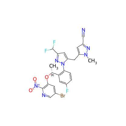 C[C@@H](Oc1cc(Br)cnc1[N+](=O)[O-])c1cc(F)ccc1-n1nc(C(F)F)cc1Cc1cc(C#N)nn1C